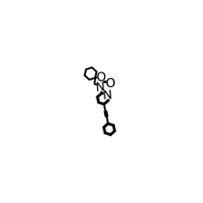 O=C1OC2(CCCCC2)CN1c1ccc(C#Cc2ccccc2)cn1